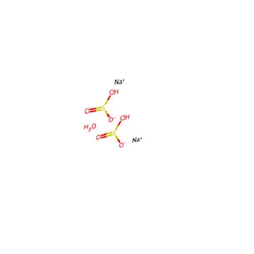 O.O=S([O-])O.O=S([O-])O.[Na+].[Na+]